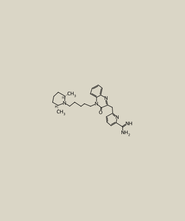 C[C@@H]1CCC[C@H](C)N1CCCCCn1c(=O)c(Cc2cccc(C(=N)N)n2)nc2ccccc21